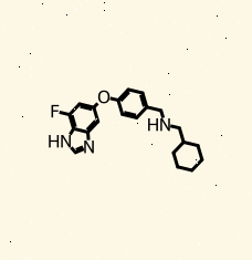 Fc1cc(Oc2ccc(CNCC3CCCCC3)cc2)cc2nc[nH]c12